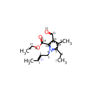 C/C=C/Cn1c(CC)c(C)c(C=O)c1C(=O)OCC